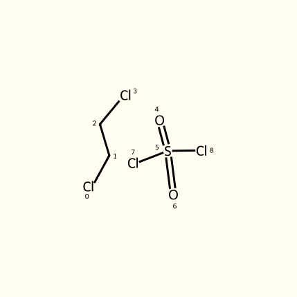 ClCCCl.O=S(=O)(Cl)Cl